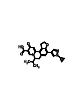 CC(C)C1Cc2cc(-c3cnn(C4CC4)c3)c3c(c2-c2cc(=O)c(C(=O)O)cn21)CCO3